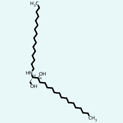 CCCCCCCCCCCCCCCCN[C@@H](CO)[C@H](O)CCCCCCCCCCCCCCC